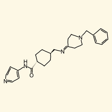 O=C(Nc1ccncc1)[C@H]1CC[C@H](CN=C2CCN(Cc3ccccc3)CC2)CC1